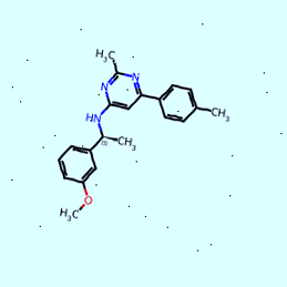 COc1cccc([C@H](C)Nc2cc(-c3ccc(C)cc3)nc(C)n2)c1